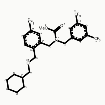 COC(=O)N(Cc1cc(C(F)(F)F)cc(C(F)(F)F)c1)Cc1cc(C(F)(F)F)ccc1COCC1CCCCC1